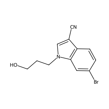 N#Cc1cn(CCCO)c2cc(Br)ccc12